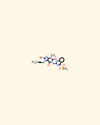 CC#CCn1c(Br)nc2c1c(=O)n(Cc1nc(S(C)(=O)=O)c3ccccc3n1)c(=O)n2C